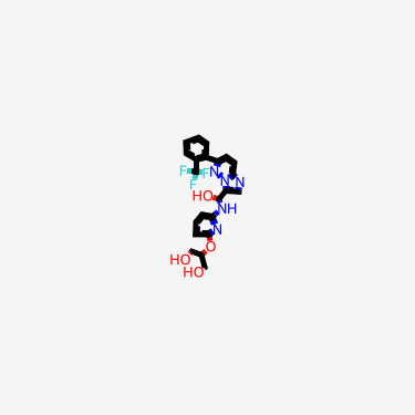 OCC(CO)Oc1cccc(NC(O)c2cnc3ccc(-c4ccccc4C(F)(F)F)nn23)n1